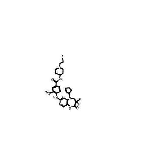 COc1cc(C(=O)NC2CCN(CCF)CC2)ccc1Nc1ncc2c(n1)N(C1CCCC1)CC(F)(F)C(=O)N2C